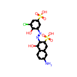 Nc1ccc2c(O)c(/N=N/c3cc(S(=O)(=O)O)cc(Cl)c3O)c(S(=O)(=O)O)cc2c1